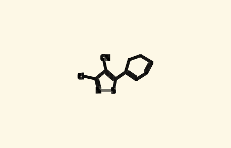 N#Cc1c(Cl)nsc1C1=CC=CCC1